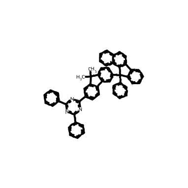 CC1(C)c2ccc(C3(c4ccccc4)c4ccccc4-c4ccc5ccccc5c43)cc2-c2ccc(-c3nc(-c4ccccc4)nc(-c4ccccc4)n3)cc21